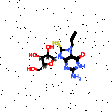 C=CCN1c2c(nc(N)[nH]c2=O)N([C@@H]2O[C@H](CO)[C@@H](O)[C@H]2O)C1S